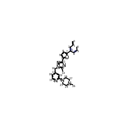 C=C/C=C(\C=C/C)c1ccc(-c2nc(C)n(Cc3ccnc(N4CCN(C)CC4)c3)n2)o1